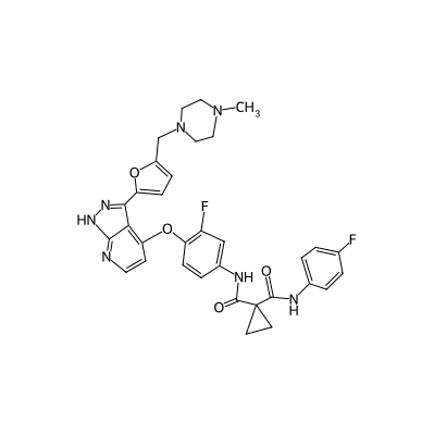 CN1CCN(Cc2ccc(-c3n[nH]c4nccc(Oc5ccc(NC(=O)C6(C(=O)Nc7ccc(F)cc7)CC6)cc5F)c34)o2)CC1